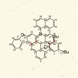 CC(C)(C)c1cc(C2=CC=CC3=CCCC(c4ccccc4N(c4ccc5c(c4)oc4ccccc45)c4cccc5ccccc45)C32C)cc(C(C)(C)C)c1